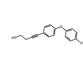 OCCC#Cc1ccc(Oc2ccc(Cl)cc2)cc1